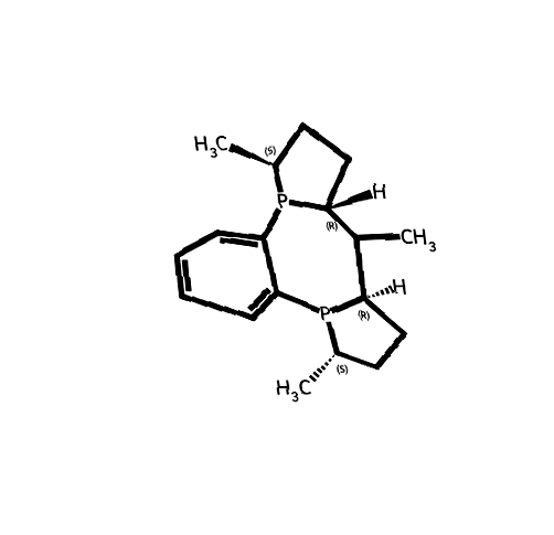 CC1[C@H]2CC[C@H](C)P2c2ccccc2P2[C@@H]1CC[C@@H]2C